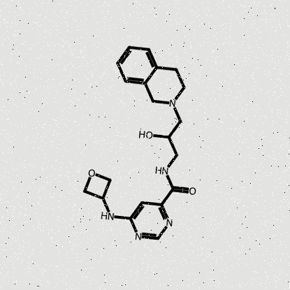 O=C(NCC(O)CN1CCc2ccccc2C1)c1cc(NC2COC2)ncn1